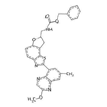 COc1cnc2c(-c3nc4ccc5c(c4s3)CC(CNC(=O)OCc3ccccc3)O5)cc(C)cc2n1